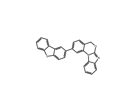 c1ccc2c(c1)nc1n2-c2cc(-c3ccc4sc5ccccc5c4c3)ccc2CO1